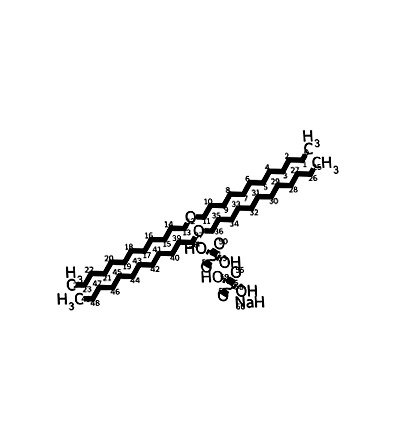 CCCCCCCCCCCCOCCCCCCCCCCCC.CCCCCCCCCCCCOCCCCCCCCCCCC.O=S(=O)(O)O.O=S(=O)(O)O.[NaH]